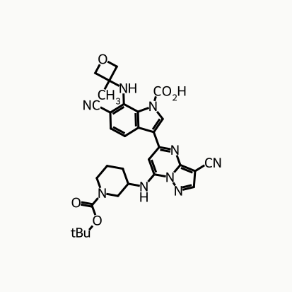 CC1(Nc2c(C#N)ccc3c(-c4cc(NC5CCCN(C(=O)OC(C)(C)C)C5)n5ncc(C#N)c5n4)cn(C(=O)O)c23)COC1